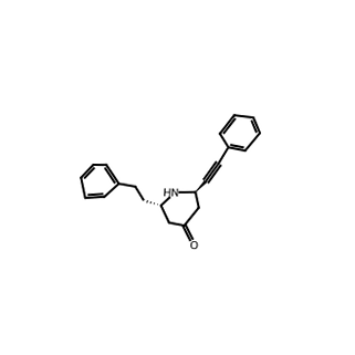 O=C1C[C@H](CCc2ccccc2)N[C@@H](C#Cc2ccccc2)C1